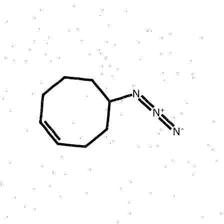 [N-]=[N+]=NC1CC/C=C\CCC1